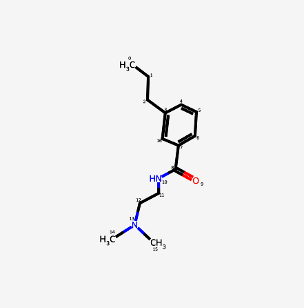 CCCc1cccc(C(=O)NCCN(C)C)c1